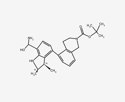 C[C@@H]1c2c(-c3cccc4c3CCN(C(=O)OC(C)(C)C)C4)ccc(C(N)O)c2N[C@@H]1C